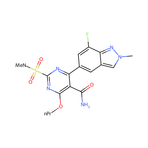 CCCOc1nc(S(=O)(=O)NC)nc(-c2cc(F)c3nn(C)cc3c2)c1C(N)=O